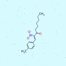 CCCCCCC(=O)/C(=C/c1ccc(C)cc1)[N+](=O)[O-]